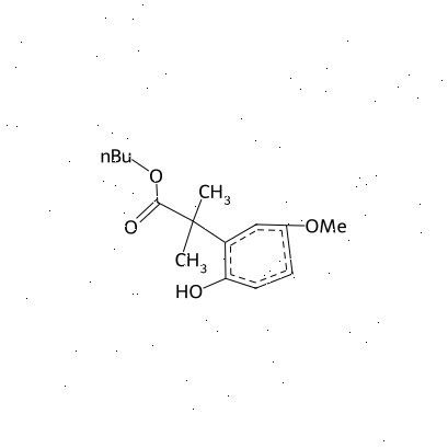 CCCCOC(=O)C(C)(C)c1cc(OC)ccc1O